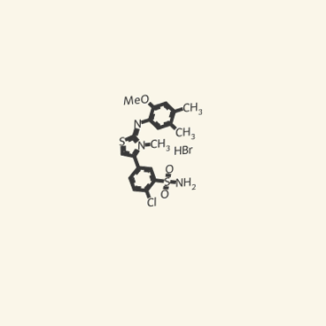 Br.COc1cc(C)c(C)cc1/N=c1/scc(-c2ccc(Cl)c(S(N)(=O)=O)c2)n1C